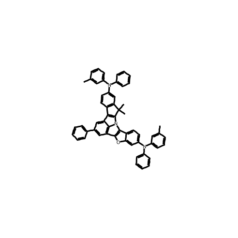 Cc1cccc(N(c2ccccc2)c2ccc3c(c2)C(C)(C)c2c-3c3cc(-c4ccccc4)cc4c5oc6cc(N(c7ccccc7)c7cccc(C)c7)ccc6c5n2c34)c1